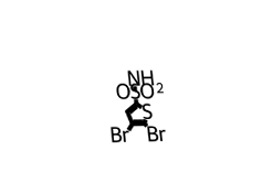 NS(=O)(=O)c1cc(Br)c(Br)s1